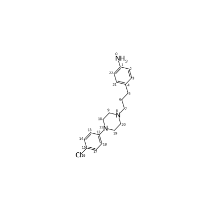 Nc1ccc(CCCN2CCN(c3ccc(Cl)cc3)CC2)cc1